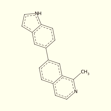 Cc1nccc2ccc(-c3ccc4[nH]ccc4c3)cc12